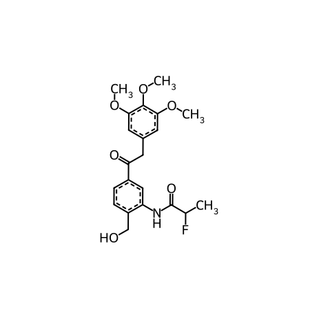 COc1cc(CC(=O)c2ccc(CO)c(NC(=O)C(C)F)c2)cc(OC)c1OC